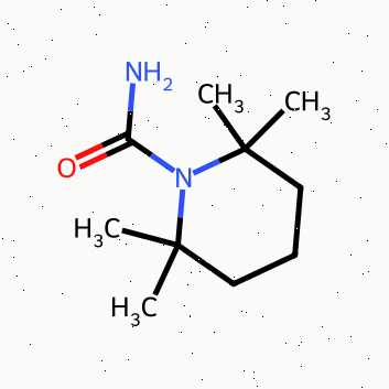 CC1(C)CCCC(C)(C)N1C(N)=O